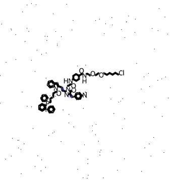 CN(C)c1ccc(/C=C2N=C(/C=C/c3cc4ccccc4n3C(=O)CCCC[PH](c3ccccc3)(c3ccccc3)c3ccccc3)N(CC(=O)NC3CCC(C(=O)NCCOCCOCCCCCCCl)CC3)C/2=O)cc1